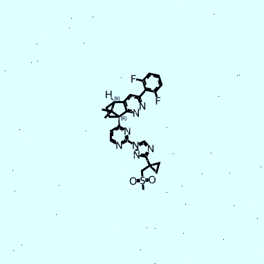 CC1(C)[C@H]2CC[C@@]1(c1ccnc(-n3cnc(C4(CS(C)(=O)=O)CC4)n3)n1)c1nnc(-c3c(F)cccc3F)cc12